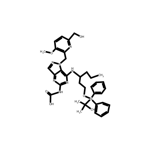 CCCC(CCO[Si](c1ccccc1)(c1ccccc1)C(C)(C)C)Nc1nc(NC(=O)O)nc2cnn(Cc3nc(CO)ccc3OC)c12